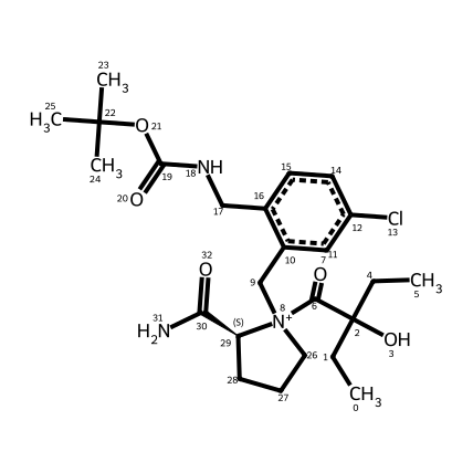 CCC(O)(CC)C(=O)[N+]1(Cc2cc(Cl)ccc2CNC(=O)OC(C)(C)C)CCC[C@H]1C(N)=O